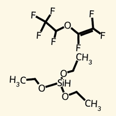 CCO[SiH](OCC)OCC.FC(F)=C(F)OC(F)C(F)(F)F